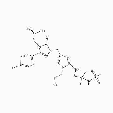 CC(C)(CNc1nc(Cn2nc(-c3ccc(Cl)cc3)n(C[C@H](O)C(F)(F)F)c2=O)nn1CCC(F)(F)F)NS(C)(=O)=O